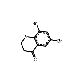 O=C1CCSc2c(Br)cc(Br)cc21